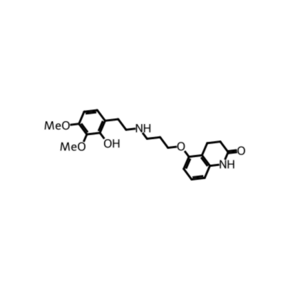 COc1ccc(CCNCCCOc2cccc3c2CCC(=O)N3)c(O)c1OC